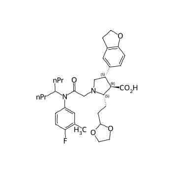 CCCC(CCC)N(C(=O)CN1C[C@H](c2ccc3c(c2)CCO3)[C@@H](C(=O)O)[C@@H]1CCC1OCCO1)c1ccc(F)c(C)c1